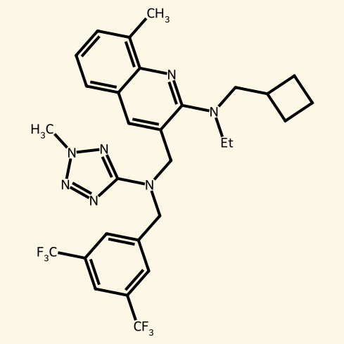 CCN(CC1CCC1)c1nc2c(C)cccc2cc1CN(Cc1cc(C(F)(F)F)cc(C(F)(F)F)c1)c1nnn(C)n1